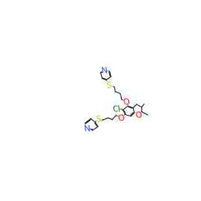 CC(=O)C(C)Cc1ccc(OCCCCSc2ccncc2)c(Cl)c1OCCCCSc1ccncc1